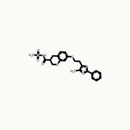 Cc1oc(-c2ccccc2)nc1CCOc1ccc2c(c1)OCC(C(=O)NS(C)(=O)=O)C2